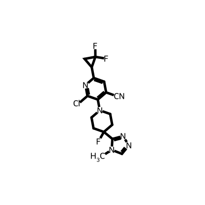 Cn1cnnc1C1(F)CCN(c2c(C#N)cc(C3CC3(F)F)nc2Cl)CC1